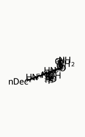 CCCCCCCCCCCCCCNCCCCNCCCCNCCCC(=O)ONC(N)=O.O=C(O)C(F)(F)F